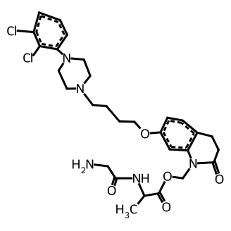 CC(NC(=O)CN)C(=O)OCN1C(=O)CCc2ccc(OCCCCN3CCN(c4cccc(Cl)c4Cl)CC3)cc21